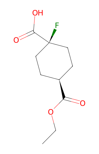 CCOC(=O)[C@H]1CC[C@](F)(C(=O)O)CC1